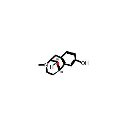 CN1CC[C@]23CCCC[C@H]2C1Cc1ccc(O)cc13